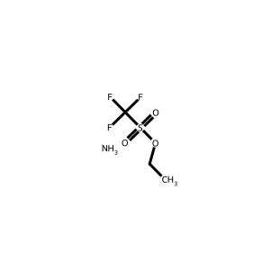 CCOS(=O)(=O)C(F)(F)F.N